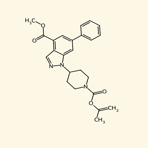 C=C(C)OC(=O)N1CCC(n2ncc3c(C(=O)OC)cc(-c4ccccc4)cc32)CC1